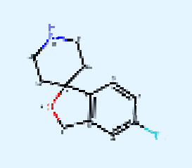 Fc1ccc2c(c1)COC21CCNCC1